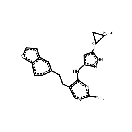 Nc1ncc(CCc2ccc3[nH]ccc3c2)c(Nc2cc([C@@H]3C[C@@H]3F)[nH]n2)n1